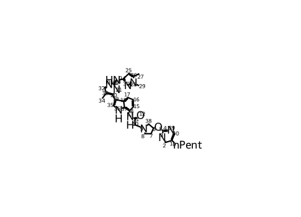 CCCCCc1cnc(OC2CCN(CC(=O)Nc3cccc4c(-c5nc(Nc6cc(C)n(C)n6)ncc5C)c[nH]c34)C2)nc1